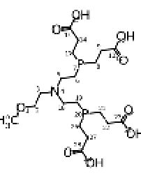 COCCN(CCP(CCC(=O)O)CCC(=O)O)CCP(CCC(=O)O)CCC(=O)O